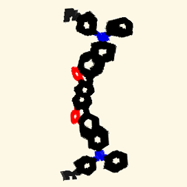 CC(C)c1ccc(N(c2ccccc2)c2ccc3c(c2)=CC2Oc4cc5cc6oc7cc8cc(N(c9ccccc9)c9ccc(C(C)C)cc9)ccc8cc7c6cc5cc4C2C=3)cc1